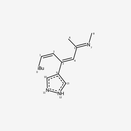 CCC(C)\C=C/C(=C\C(C)=N\C)c1cn[nH]c1